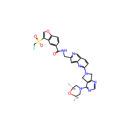 C[C@@H]1CN(c2ncnc3c2CN(c2ccc4cnc(CNC(=O)c5ccc6occ(S(=O)(=O)CF)c6c5)cc4n2)C3)C[C@H](C)O1